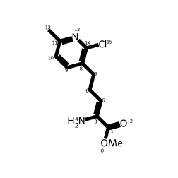 COC(=O)/C(N)=C/CCc1ccc(C)nc1Cl